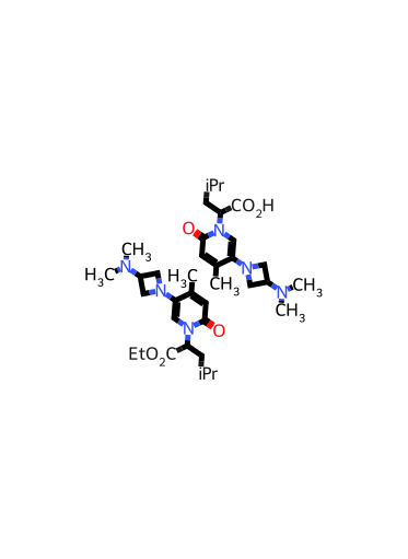 CCOC(=O)C(CC(C)C)n1cc(N2CC(N(C)C)C2)c(C)cc1=O.Cc1cc(=O)n(C(CC(C)C)C(=O)O)cc1N1CC(N(C)C)C1